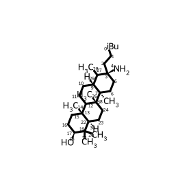 CCC(C)CC[C@]1(N)CC[C@]2(C)[C@H](CCC3[C@@]4(C)CC[C@H](O)C(C)(C)[C@@H]4CC[C@]32C)C1C